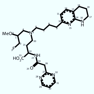 COC(CF)CN(CCCCc1ccc2c(n1)NCCC2)CCC(NC(=O)Cc1ncccn1)C(=O)O